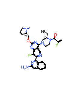 C=C(F)C(=O)N1CCN(c2nc(OC[C@@H]3CCCN3C)nc3c(F)c(-c4nc(N)cc5ccccc45)ncc23)C[C@@H]1CC#N